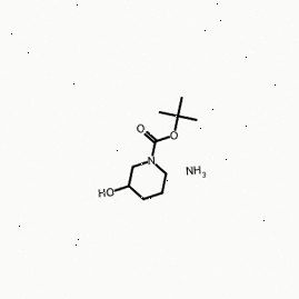 CC(C)(C)OC(=O)N1CCCC(O)C1.N